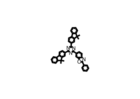 CC1(C)c2ccccc2-c2ccc(-c3nc(-c4ccc5c(c4)C(C)(C)c4ccccc4-5)nc(-c4ccc5nc(-c6ccccc6)oc5c4)n3)cc21